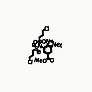 CCn1cnc2c(N(S(=O)(=O)CCCCl)S(=O)(=O)CCCCl)cc(C(=O)OC)cc21